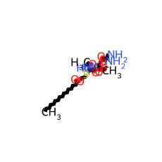 CCCCCCCCCCCCCCCC(=O)OCCSC[C@H](NC(C)=O)C(=O)N[C@@H](COC(=O)[C@@H](N)CN)C(=O)OC